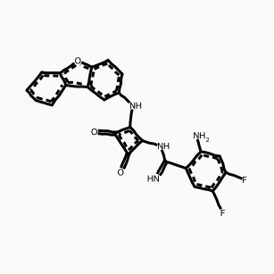 N=C(Nc1c(Nc2ccc3oc4ccccc4c3c2)c(=O)c1=O)c1cc(F)c(F)cc1N